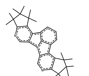 CC1(C)c2ncc3c(c2C(C)(C)C1(C)C)c1cccc2c4c5c(ncc4n3c12)C(C)(C)C(C)(C)C5(C)C